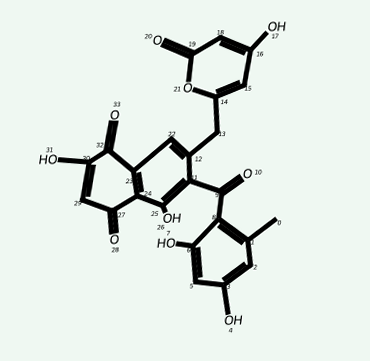 Cc1cc(O)cc(O)c1C(=O)c1c(Cc2cc(O)cc(=O)o2)cc2c(c1O)C(=O)C=C(O)C2=O